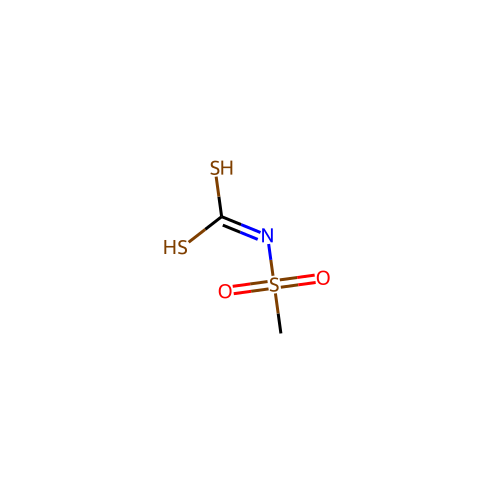 CS(=O)(=O)N=C(S)S